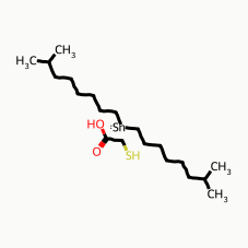 CC(C)CCCCC[CH2][Sn][CH2]CCCCCC(C)C.O=C(O)CS